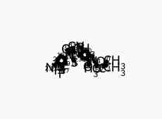 CC(C)(C)OC(=O)N1Cc2cc(F)c(N3C(=S)N(c4ccc(C#N)c(C(F)(F)F)c4)C(=O)C3(C)C)cc2C1=O